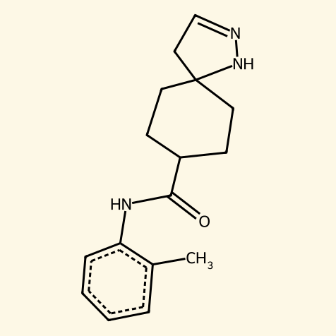 Cc1ccccc1NC(=O)C1CCC2(CC=NN2)CC1